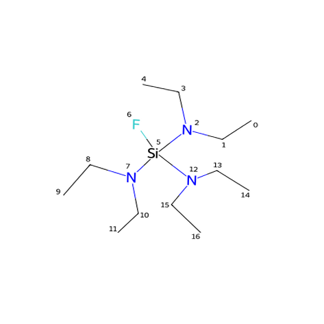 CCN(CC)[Si](F)(N(CC)CC)N(CC)CC